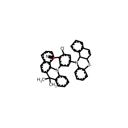 CC1(C)c2ccccc2N(c2cc(N3c4ccccc4SC4C=Cc5ccccc5C43)cc(Cl)c2C#N)c2c1ccc1ccccc21